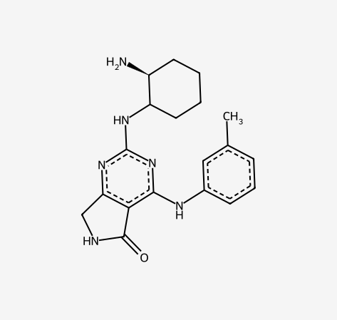 Cc1cccc(Nc2nc(NC3CCCC[C@@H]3N)nc3c2C(=O)NC3)c1